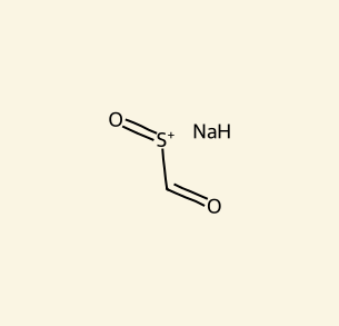 O=C[S+]=O.[NaH]